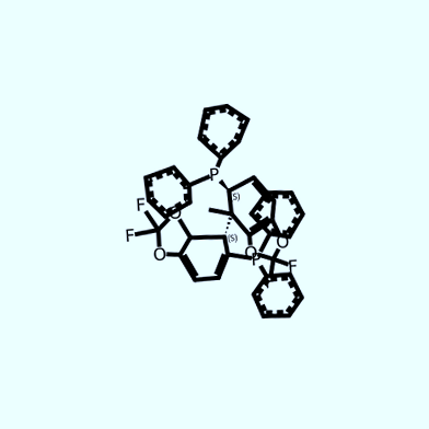 CC1([C@@H]2C(P(c3ccccc3)c3ccccc3)=CC=C3OC(F)(F)OC32)C2=C(C=C[C@@H]1P(c1ccccc1)c1ccccc1)OC(F)(F)O2